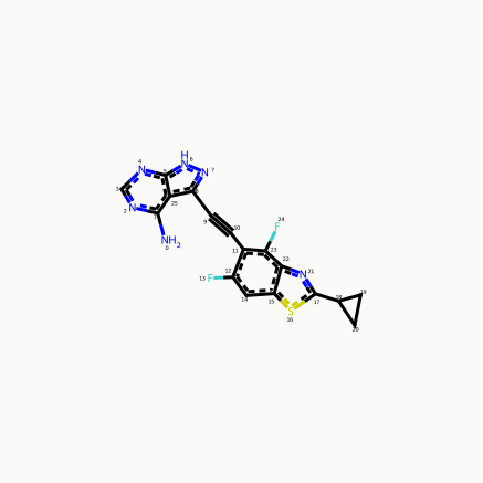 Nc1ncnc2[nH]nc(C#Cc3c(F)cc4sc(C5CC5)nc4c3F)c12